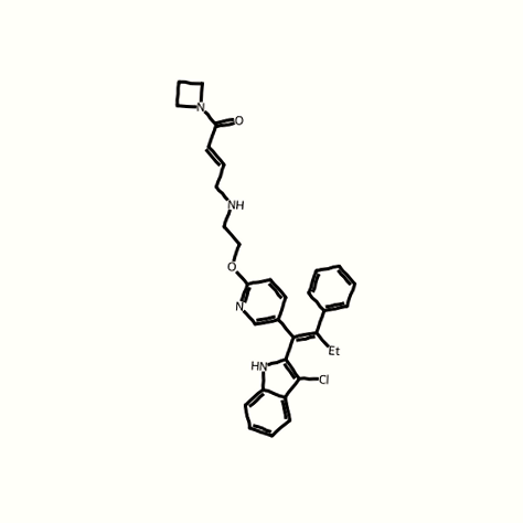 CC/C(=C(/c1ccc(OCCNC/C=C/C(=O)N2CCC2)nc1)c1[nH]c2ccccc2c1Cl)c1ccccc1